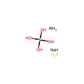 O[Si](O)(O)O.S.[AlH3].[NaH]